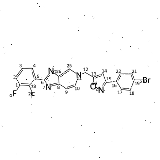 Fc1cccc(-c2nc3ccn(Cc4cc(-c5ccc(Br)cc5)no4)cc-3n2)c1F